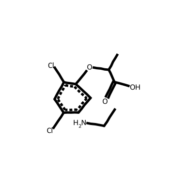 CC(Oc1ccc(Cl)cc1Cl)C(=O)O.CCN